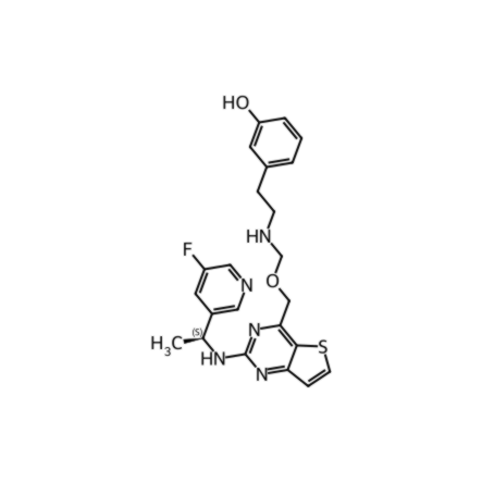 C[C@H](Nc1nc(COCNCCc2cccc(O)c2)c2sccc2n1)c1cncc(F)c1